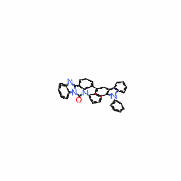 O=c1n(-c2ccccc2)c2c(-c3ccc4c(c3)c3ccccc3n4-c3ccccc3)cccc2c2nc3ccccc3n12